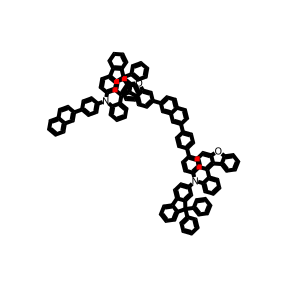 C1=CC2=C(CC1)c1ccc(N(c3ccc(-c4ccc5ccccc5c4)cc3)c3ccccc3-c3cccc4oc5cc(-c6ccc7ccc(-c8ccc(-c9ccc(N(c%10ccc%11c(c%10)C(c%10ccccc%10)(c%10ccccc%10)c%10ccccc%10-%11)c%10ccccc%10-c%10cccc%11oc%12ccccc%12c%10%11)cc9)cc8)cc7c6)ccc5c34)cc1C2(c1ccccc1)c1ccccc1